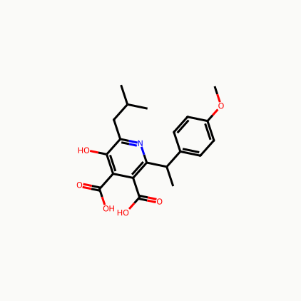 COc1ccc(C(C)c2nc(CC(C)C)c(O)c(C(=O)O)c2C(=O)O)cc1